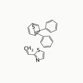 C=Cc1nccs1.c1ccc(C2(c3ccccc3)Sc3ccc2cc3)cc1